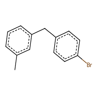 Cc1cccc(Cc2ccc(Br)cc2)c1